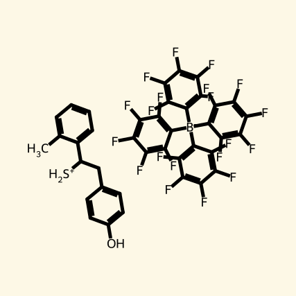 Cc1ccccc1C([SH2+])Cc1ccc(O)cc1.Fc1c(F)c(F)c([B-](c2c(F)c(F)c(F)c(F)c2F)(c2c(F)c(F)c(F)c(F)c2F)c2c(F)c(F)c(F)c(F)c2F)c(F)c1F